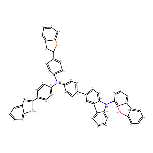 c1ccc2c(c1)CC(c1ccc(N(c3ccc(-c4ccc5c(c4)c4ccccc4n5-c4cccc5c4oc4ccccc45)cc3)c3ccc(-c4cc5ccccc5s4)cc3)cc1)S2